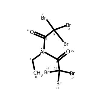 C[CH2][Al]([C](=O)C(Br)(Br)Br)[C](=O)C(Br)(Br)Br